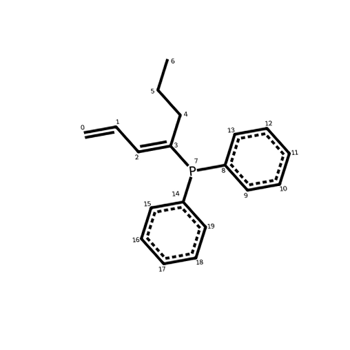 C=C/C=C(\CCC)P(c1ccccc1)c1ccccc1